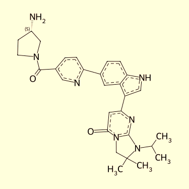 CC(C)N1c2nc(-c3c[nH]c4ccc(-c5ccc(C(=O)N6CC[C@H](N)C6)cn5)cc34)cc(=O)n2CC1(C)C